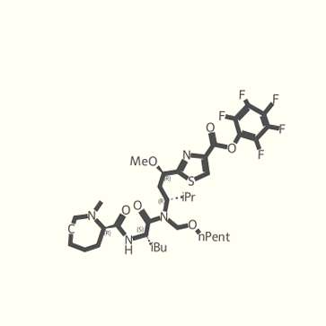 CCCCCOCN(C(=O)[C@@H](NC(=O)[C@H]1CCCCCN1C)C(C)CC)[C@H](C[C@@H](OC)c1nc(C(=O)Oc2c(F)c(F)c(F)c(F)c2F)cs1)C(C)C